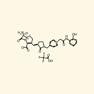 N[C@@H]1C(=O)N2C(C(=O)[O-])=C(C=C3CCN(Cc4cc[n+](CC(=O)Nc5ccccc5O)cc4)C3=O)CS[C@H]12.O=C(O)C(F)(F)F